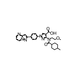 COCCN(C(=O)C1CCC(C)CC1)c1nn(-c2ccc(-c3cc4ncccn4n3)cc2)cc1C(=O)O